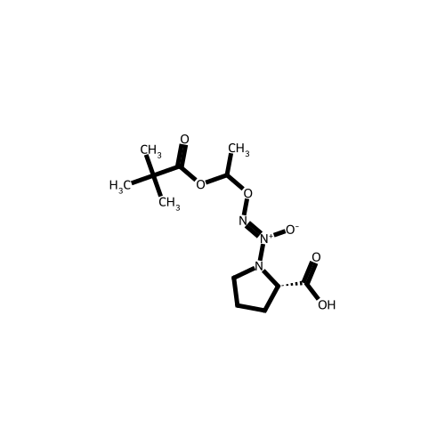 CC(ON=[N+]([O-])N1CCC[C@H]1C(=O)O)OC(=O)C(C)(C)C